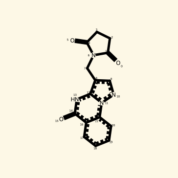 O=C1CCC(=O)N1Cc1cnn2c1[nH]c(=O)c1ccccc12